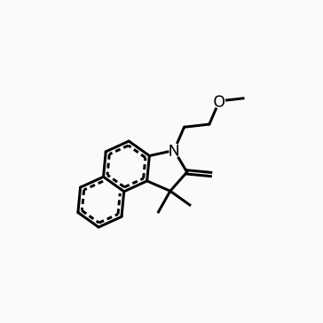 C=C1N(CCOC)c2ccc3ccccc3c2C1(C)C